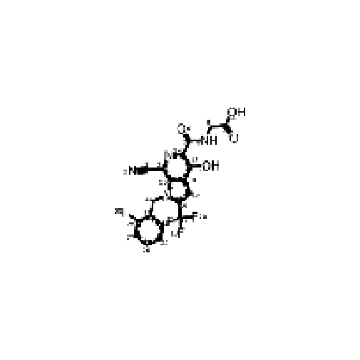 N#Cc1nc(C(=O)NCC(=O)O)c(O)c2cc(C(F)(F)F)n(Cc3ccccc3F)c12